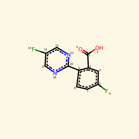 O=C(O)c1cc(F)ccc1-c1ncc(F)cn1